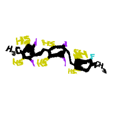 Cc1cc(S)c(CCc2c(I)c(S)c(CCc3c(I)c(S)c(C)c(S)c3I)c(S)c2I)c(S)c1F